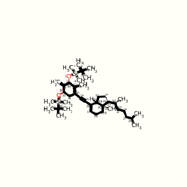 C=C1[C@H](O[Si](C)(C)C(C)(C)C)C(C)=C(C#CC2=CCC[C@]3(C)[C@@H]([C@H](C)CCCC(C)C)CC[C@@H]23)C[C@H]1O[Si](C)(C)C(C)(C)C